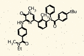 CCN(C)C(=O)c1ccc(Nc2nc(-c3cccc(N(C(=O)c4ccc(C(C)(C)C)cc4)c4ccccc4)c3C)cn(C)c2=O)cc1